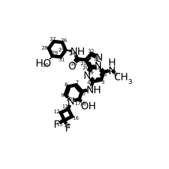 CNc1cc(NC2=CC=CN(C3CC(F)(F)C3)C2O)nc2c(C(=O)N[C@@H]3CCC[C@@H](O)C3)cnn12